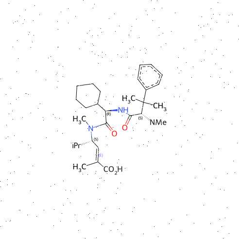 CN[C@H](C(=O)N[C@@H](C(=O)N(C)[C@H](/C=C(\C)C(=O)O)C(C)C)C1CCCCC1)C(C)(C)c1ccccc1